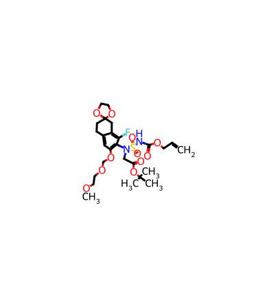 C=CCOC(=O)NS(=O)(=O)N(CC(=O)OC(C)(C)C)c1c(OCOCCOC)cc2c(c1F)CC1(CC2)OCCO1